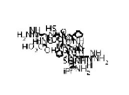 CC(C)C[C@H](N)C(=O)N[C@@H](CCCNC(=N)N)C(=O)N[C@@H](CS)C(=O)N[C@@H](Cc1c[nH]cn1)C(=O)N[C@@H](Cc1ccccc1)C(=O)N[C@@H](Cc1c[nH]c2ccccc12)C(=O)N[C@@H](CS)C(=O)N[C@@H](CCCNC(=N)N)C(=O)N[C@@H](CO)C(=O)O